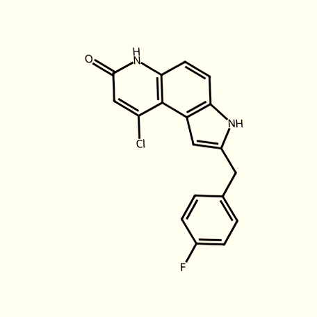 O=c1cc(Cl)c2c(ccc3[nH]c(Cc4ccc(F)cc4)cc32)[nH]1